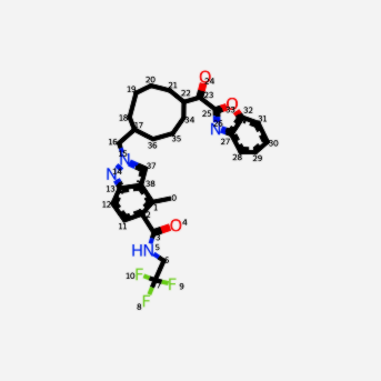 Cc1c(C(=O)NCC(F)(F)F)ccc2nn(CC3CCCCC(C(=O)c4nc5ccccc5o4)CCC3)cc12